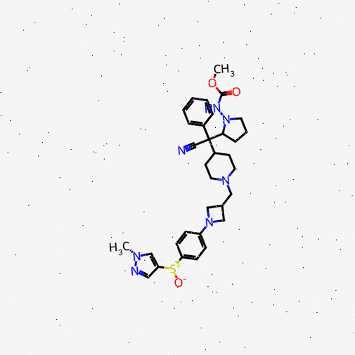 COC(=O)NN1CCCC1C(C#N)(c1ccccc1)C1CCN(CC2CN(c3ccc([S+]([O-])c4cnn(C)c4)cc3)C2)CC1